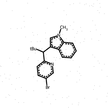 Cn1cc(C(c2ccc(Br)cn2)C(C)(C)C)c2ccccc21